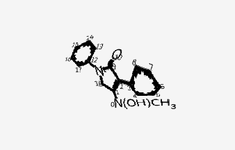 CN(O)C1=C(c2ccccc2)C(=O)N(c2ccccc2)C1